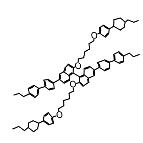 CCCc1ccc(-c2ccc(-c3ccc4c(-c5c(OCCCCCCOc6ccc(C7CCC(CCC)CC7)cc6)ccc6cc(-c7ccc(-c8ccc(CCC)cc8)cc7)ccc56)c(OCCCCCCOc5ccc(C6CCC(CCC)CC6)cc5)ccc4c3)cc2)cc1